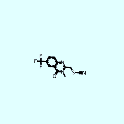 Cn1c(CSC#N)nc2ccc(C(F)(F)F)cc2c1=O